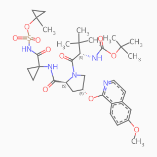 COc1ccc2c(O[C@@H]3C[C@@H](C(=O)NC4(C(=O)NS(=O)(=O)OC5(C)CC5)CC4)N(C(=O)[C@@H](NC(=O)OC(C)(C)C)C(C)(C)C)C3)nccc2c1